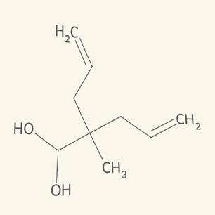 C=CCC(C)(CC=C)C(O)O